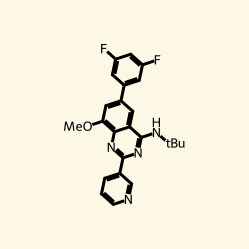 COc1cc(-c2cc(F)cc(F)c2)cc2c(NC(C)(C)C)nc(-c3cccnc3)nc12